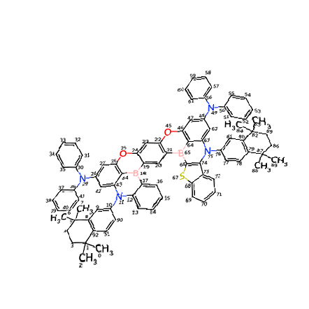 CC1(C)CCC(C)(C)c2cc(N3c4ccccc4B4c5cc6c(cc5Oc5cc(N(c7ccccc7)c7ccccc7)cc3c54)Oc3cc(N(c4ccccc4)c4ccccc4)cc4c3B6c3sc5ccccc5c3N4c3ccc4c(c3)C(C)(C)CCC4(C)C)ccc21